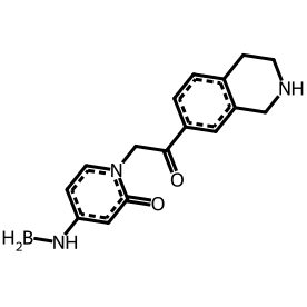 BNc1ccn(CC(=O)c2ccc3c(c2)CNCC3)c(=O)c1